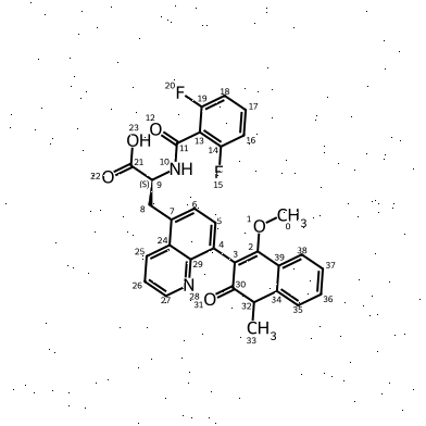 COC1=C(c2ccc(C[C@H](NC(=O)c3c(F)cccc3F)C(=O)O)c3cccnc23)C(=O)C(C)c2ccccc21